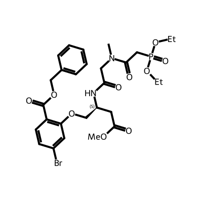 CCOP(=O)(CC(=O)N(C)CC(=O)N[C@H](COc1cc(Br)ccc1C(=O)OCc1ccccc1)CC(=O)OC)OCC